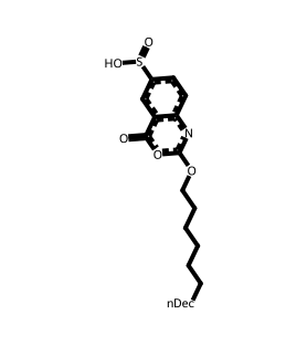 CCCCCCCCCCCCCCCCOc1nc2ccc(S(=O)O)cc2c(=O)o1